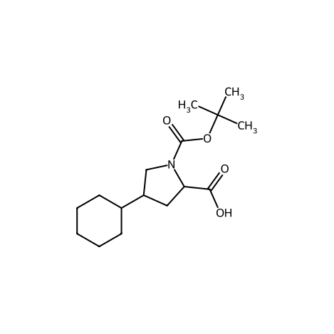 CC(C)(C)OC(=O)N1CC(C2CCCCC2)CC1C(=O)O